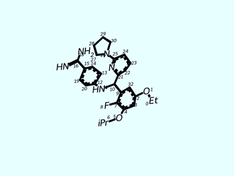 CCOc1cc(OC(C)C)c(F)c(C(Nc2ccc(C(=N)N)cc2)c2cccc(N3CCCC3)n2)c1